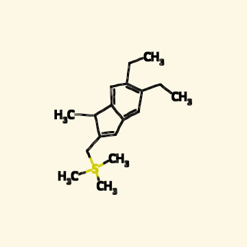 CCc1cc2c(cc1CC)C(C)C(CS(C)(C)C)=C2